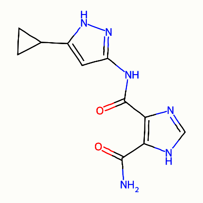 NC(=O)c1[nH]cnc1C(=O)Nc1cc(C2CC2)[nH]n1